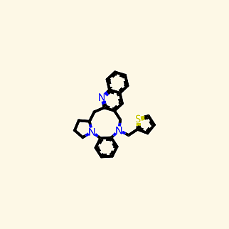 c1csc(CN2Cc3cc4ccccc4nc3CC3CCCN3c3ccccc32)c1